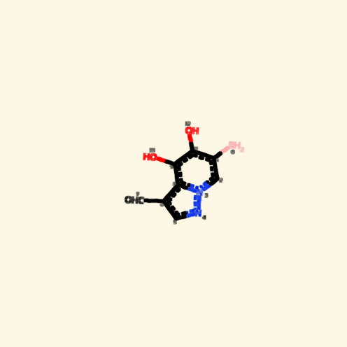 Bc1cn2ncc(C=O)c2c(O)c1O